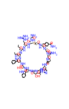 CCCC[C@H]1C(=O)N(C)[C@@H](CCCC)C(=O)N[C@@H](CCCNC(=N)N)C(=O)N[C@H](C(=O)NCC(N)=O)CSCC(=O)N[C@@H](Cc2ccc(C(N)=O)cc2)C(=O)N(C)[C@@H](C)C(=O)N[C@@H](CC(N)=O)C(=O)N2CCC[C@H]2C(=O)N[C@@H](Cc2cnc[nH]2)C(=O)N[C@@H](CC(C)C)C(=O)N2C[C@H](O)CC2C(=O)N[C@@H](Cc2c[nH]c3ccccc23)C(=O)N[C@@H](CO)C(=O)N[C@@H](Cc2c[nH]c3ccccc23)C(=O)N1C